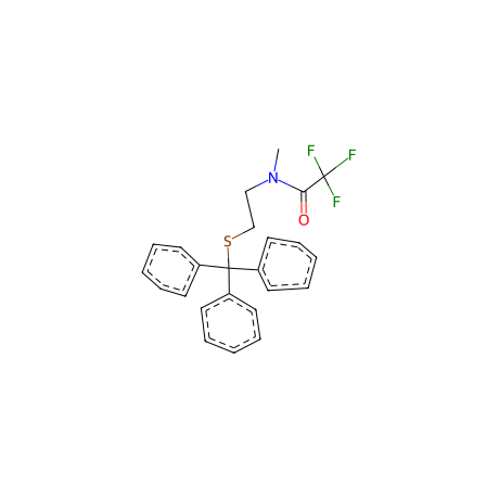 CN(CCSC(c1ccccc1)(c1ccccc1)c1ccccc1)C(=O)C(F)(F)F